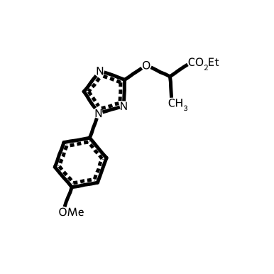 CCOC(=O)C(C)Oc1ncn(-c2ccc(OC)cc2)n1